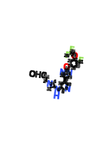 O=CC=CN1CC(Nc2cncc(-c3cnc(Oc4ccc(F)c(OC(F)F)c4)nc3)c2)C1